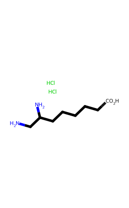 Cl.Cl.NCC(N)CCCCCC(=O)O